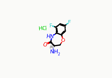 Cl.N[C@H]1COc2cc(F)cc(F)c2NC1=O